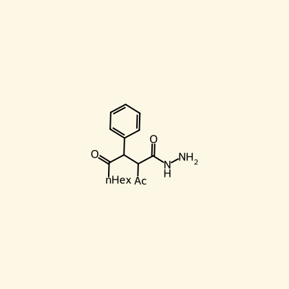 CCCCCCC(=O)C(c1ccccc1)C(C(C)=O)C(=O)NN